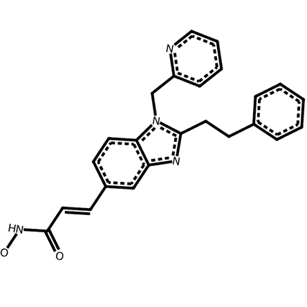 O=C(C=Cc1ccc2c(c1)nc(CCc1ccccc1)n2Cc1ccccn1)NO